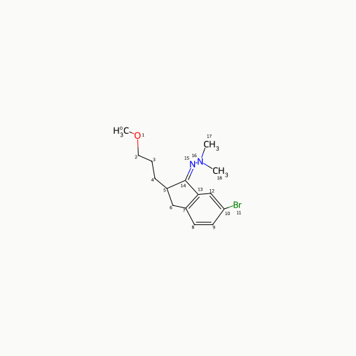 COCCCC1Cc2ccc(Br)cc2C1=NN(C)C